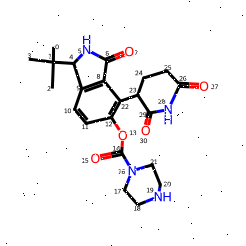 CC(C)(C)C1NC(=O)c2c1ccc(OC(=O)N1CCNCC1)c2C1CCC(=O)NC1=O